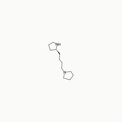 C(CCN1CCCC1)C[C@H]1CCCN1